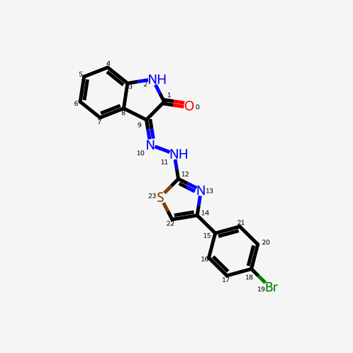 O=C1Nc2ccccc2/C1=N/Nc1nc(-c2ccc(Br)cc2)cs1